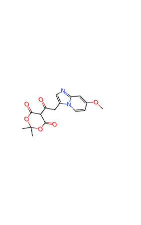 COc1ccn2c(CC(=O)C3C(=O)OC(C)(C)OC3=O)cnc2c1